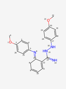 COc1ccc(N=C2CC=CC=C2C(=N)NNc2ccc(OC)cc2)cc1